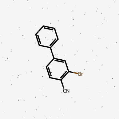 N#Cc1ccc(-c2ccccc2)cc1Br